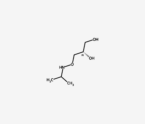 CC(C)NOC[C@@H](O)CO